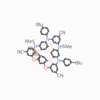 CSN1c2cc3c(cc2B2c4cc(C(C)(C)C)ccc4Oc4cc(C#N)cc1c42)B1c2cc4c(cc2N(SC)c2cc(C#N)cc(c21)N3c1ccc(C(C)(C)C)cc1)N(c1ccc(C(C)(C)C)cc1)c1cc(C#N)cc2c1B4c1cc(C(C)(C)C)ccc1O2